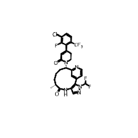 C[C@@H]1CCC[C@H](N2CCC(c3c(C(F)(F)F)ccc(Cl)c3F)=CC2=O)c2cc(ccn2)-c2c(cnn2C(F)F)NC1=O